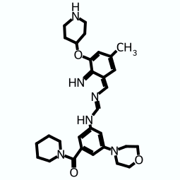 CC1=C/C(=C/N=C/Nc2cc(C(=O)N3CCCCC3)cc(N3CCOCC3)c2)C(=N)C(OC2CCNCC2)=C1